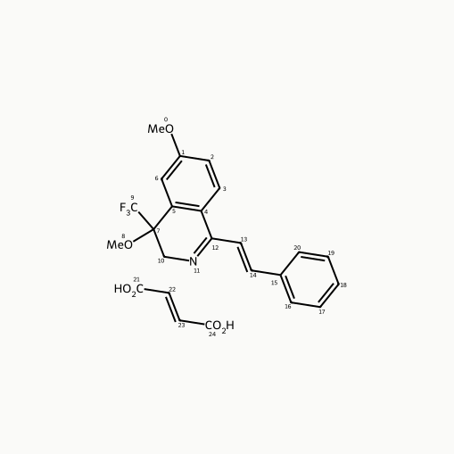 COc1ccc2c(c1)C(OC)(C(F)(F)F)CN=C2C=Cc1ccccc1.O=C(O)C=CC(=O)O